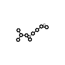 c1ccc(-c2cc(-c3ccccc3)cc(-c3ccc4c(c3)c3ccccc3n4-c3ccc(-c4ccc(-c5ccc6oc7ccccc7c6c5)cc4)cc3)c2)cc1